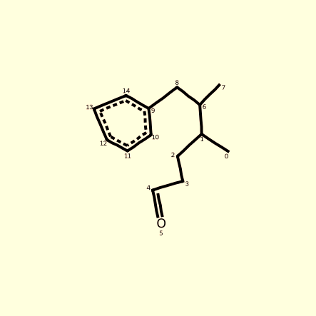 CC(CCC=O)C(C)Cc1ccccc1